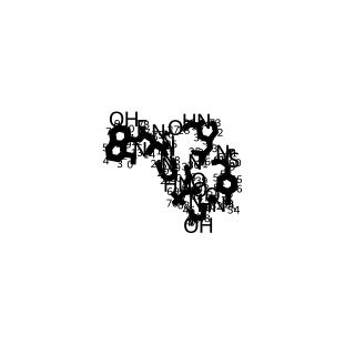 CCc1cccc2cc(O)cc(-c3ncc4c(N5CC6CCC(C5)N6)nc(OCCC5CC(CC6CN(CC(=O)N[C@H](C(=O)N7C[C@H](O)C[C@H]7C(=O)N[C@@H](C)c7ccc(-c8scnc8C)cc7)C(C)(C)C)C6)CCN5)nc4c3F)c12